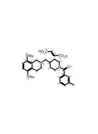 COc1ccc(OC)c2c1CCN(CC1CCN(C(=O)c3cccc(C)c3)CC1)C2.O=C(O)/C=C/C(=O)O